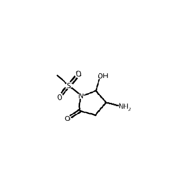 CS(=O)(=O)N1C(=O)CC(N)C1O